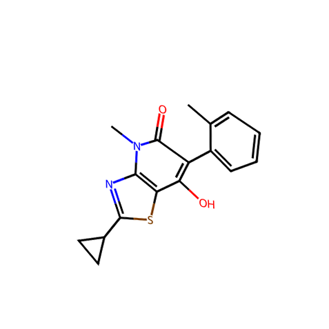 Cc1ccccc1-c1c(O)c2sc(C3CC3)nc2n(C)c1=O